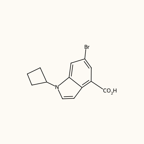 O=C(O)c1cc(Br)cc2c1ccn2C1CCC1